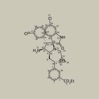 CCOC(=O)c1cccc([C@@H](O)C[C@H]2[C@@H](N)[C@H](c3cccc(Cl)c3)[C@]3(C(=O)Nc4cc(Cl)ccc43)N2CC2CC2)c1